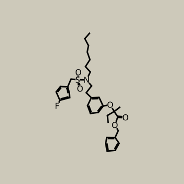 CCCCCCCN(CCc1cccc(OC(C)(CC)C(=O)OCc2ccccc2)c1)S(=O)(=O)Cc1ccc(F)cc1